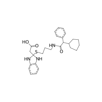 O=C(O)CC1(SCCCNC(=O)C(c2ccccc2)C2CCCCC2)Nc2ccccc2N1